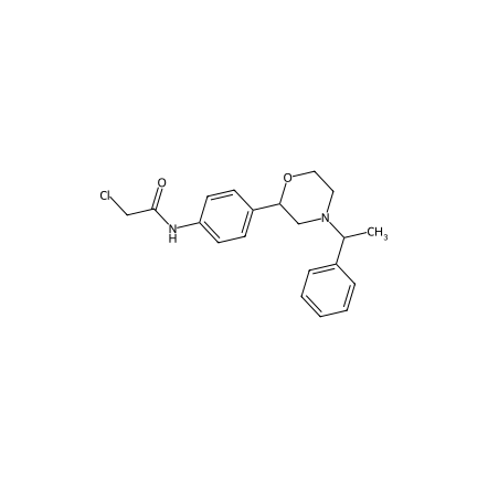 CC(c1ccccc1)N1CCOC(c2ccc(NC(=O)CCl)cc2)C1